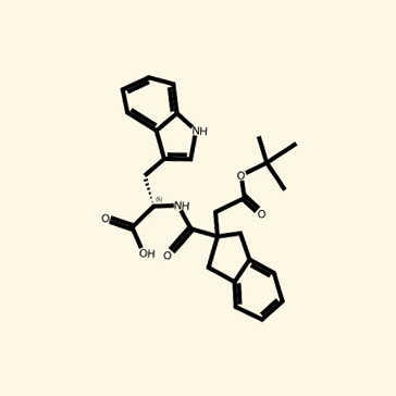 CC(C)(C)OC(=O)CC1(C(=O)N[C@@H](Cc2c[nH]c3ccccc23)C(=O)O)Cc2ccccc2C1